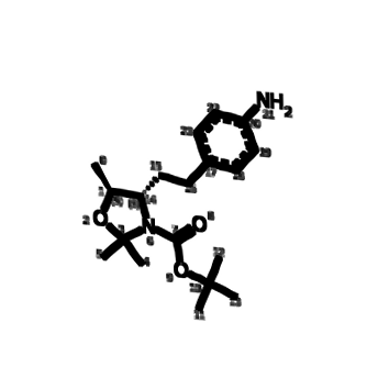 C[C@@H]1OC(C)(C)N(C(=O)OC(C)(C)C)[C@H]1CCc1ccc(N)cc1